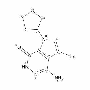 Nc1n[nH]c(=O)c2c1c(I)cn2C1CCCC1